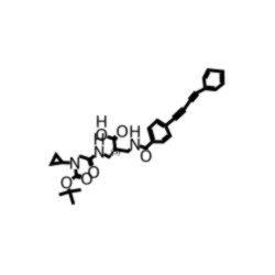 CC(C)(C)OC(=O)N(CC(=O)NC[C@H](CNC(=O)c1ccc(C#CC#Cc2ccccc2)cc1)C(=O)O)C1CC1